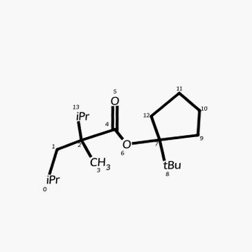 CC(C)CC(C)(C(=O)OC1(C(C)(C)C)CCCC1)C(C)C